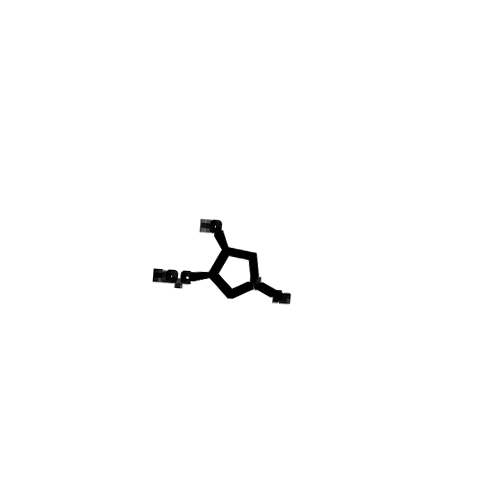 CCOC(=O)[C@@H]1CN(C(C)=O)C[C@@H]1O